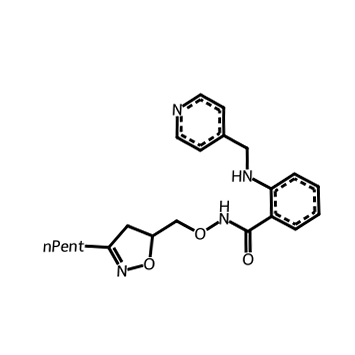 CCCCCC1=NOC(CONC(=O)c2ccccc2NCc2ccncc2)C1